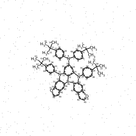 CC(C)(C)c1ccc(N(c2ccc(C(C)(C)C)cc2)c2cc3c4c(c2)N(c2ccc(C(C)(C)C)cc2)c2cc5occc5cc2B4c2cc4ccoc4cc2N3c2ccc(C(C)(C)C)cc2)cc1